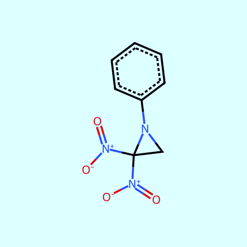 O=[N+]([O-])C1([N+](=O)[O-])CN1c1ccccc1